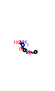 C/C(=N\OCCc1ccccc1)c1ccc(C(=O)N2CCCC(N)(CO)C2)cc1